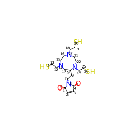 O=C1C=CC(=O)N1CCC1CN(CCS)CCN(CCS)CCN1CCS